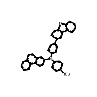 CC(C)(C)c1ccc(N(c2ccc(-c3ccc4oc5ccccc5c4c3)cc2)c2ccc3c(ccc4ccccc43)c2)cc1